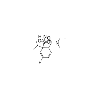 CCN(CC)C(=O)C1C=CC(F)=CC1(C(C)C)S(N)(=O)=O